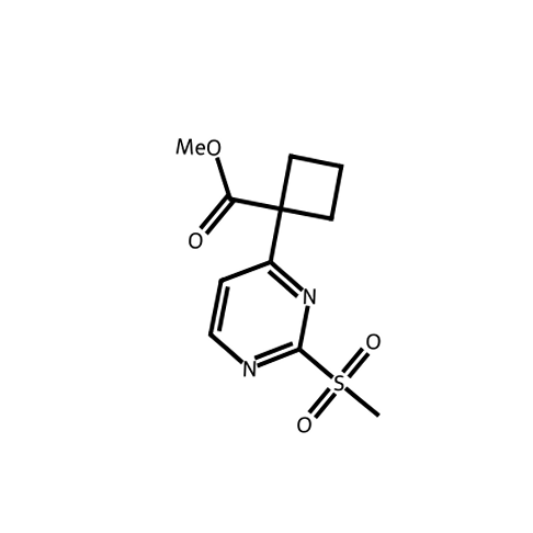 COC(=O)C1(c2ccnc(S(C)(=O)=O)n2)CCC1